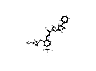 Cc1nnn(Cc2cc(C(F)(F)F)ccc2/C=C/C(=O)N(C)Cc2nc(-c3ccccc3)no2)n1